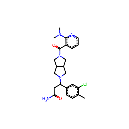 Cc1ccc(C(CC(N)=O)N2CC3CN(C(=O)c4cccnc4N(C)C)CC3C2)cc1Cl